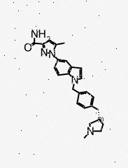 Cc1cc(C(N)=O)nn1-c1ccc2c(ccn2Cc2ccc(C[C@@H]3CCN(C)C3)cc2)c1